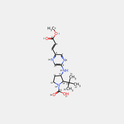 COC(=O)C=Cc1cnc(N[C@@H]2CCN(C(=O)O)C2C(C)(C)C)cn1